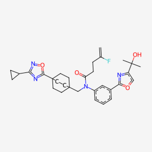 C=C(F)CCC(=O)N(CC12CCC(c3nc(C4CC4)no3)(CC1)CC2)c1cccc(-c2nc(C(C)(C)O)co2)c1